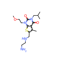 COCCn1c(=O)n(CC(C)C)c(=O)c2c(C)c(CNCCN)sc21